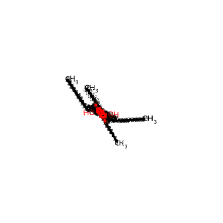 CCCCCCCCCCCCCCCCCCc1ccc(C(O)(c2ccc(CCCCCCCCCCCCCCCCCC)cc2)c2ccsc2-c2cc3cc4sc(-c5sccc5C(O)(c5ccc(CCCCCCCCCCCCCCCC)cc5)c5ccc(CCCCCCCCCCCCCCCC)cc5)cc4cc3s2)cc1